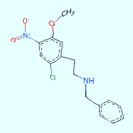 COc1cc(CCNCc2ccccc2)c(Cl)cc1[N+](=O)[O-]